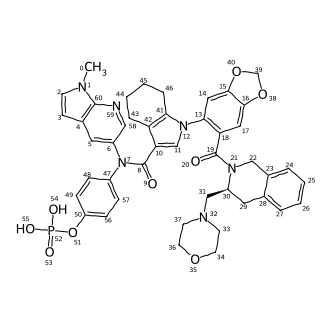 Cn1ccc2cc(N(C(=O)c3cn(-c4cc5c(cc4C(=O)N4Cc6ccccc6C[C@H]4CN4CCOCC4)OCO5)c4c3CCCC4)c3ccc(OP(=O)(O)O)cc3)cnc21